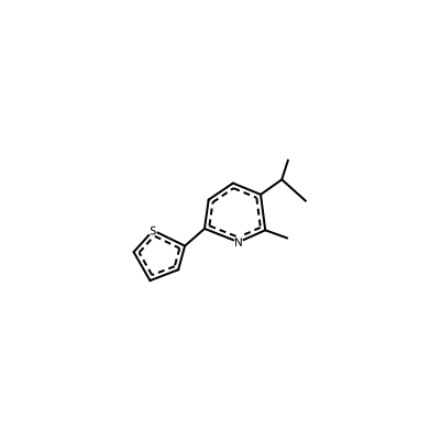 Cc1nc(-c2cccs2)ccc1C(C)C